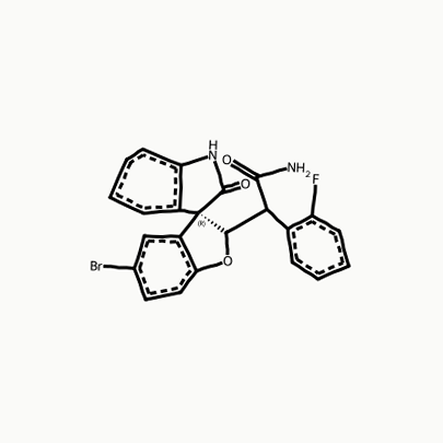 NC(=O)C(c1ccccc1F)C1Oc2ccc(Br)cc2[C@@]12C(=O)Nc1ccccc12